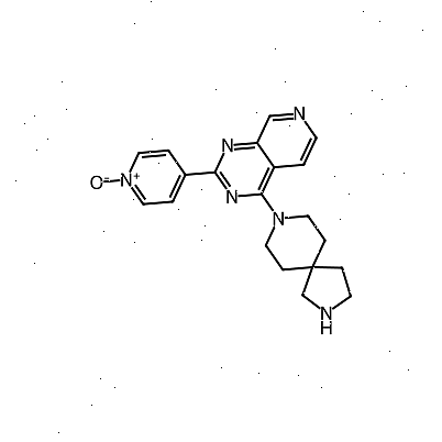 [O-][n+]1ccc(-c2nc(N3CCC4(CCNC4)CC3)c3ccncc3n2)cc1